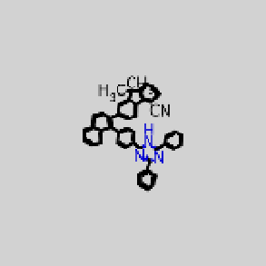 CC1(C)c2cc(-c3ccc4ccccc4c3-c3ccc(C4N=C(c5ccccc5)N=C(c5ccccc5)N4)cc3)ccc2-c2c(C#N)cccc21